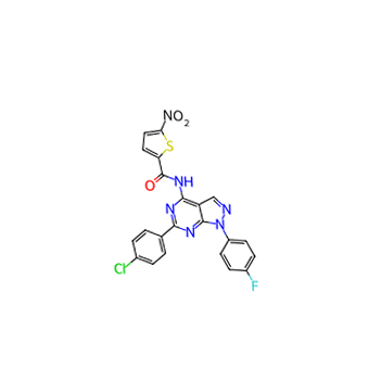 O=C(Nc1nc(-c2ccc(Cl)cc2)nc2c1cnn2-c1ccc(F)cc1)c1ccc([N+](=O)[O-])s1